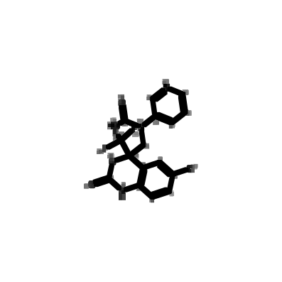 O=C1Nc2ccc(Cl)cc2C(CN(C(=O)O)c2cccnc2)(C(F)(F)F)O1